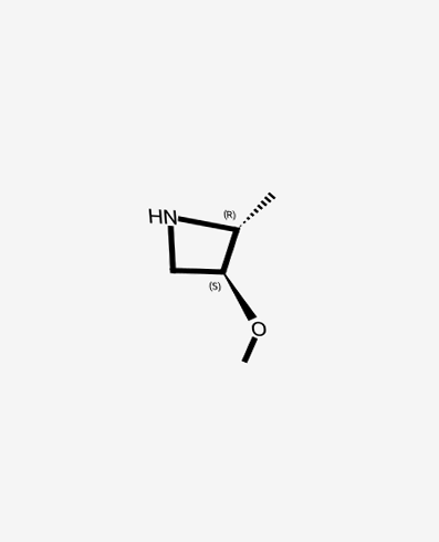 CO[C@H]1CN[C@@H]1C